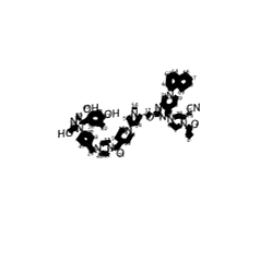 C=CC(=O)N1CCN(c2nc(OC[C@@H]3C[C@H](N4CCC(C(=O)N5CCN(Cc6ccc(-n7c(O)nnc7-c7cc(C)c(O)cc7O)cc6)CC5)CC4)CN3C)nc3c2CCN(c2cccc4ccccc24)C3)C[C@@H]1CC#N